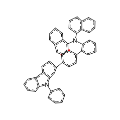 c1ccc(-n2c3ccccc3c3ccc(-c4ccc(-c5ccccc5N(c5cccc6ccccc56)c5cccc6ccccc56)cc4)cc32)cc1